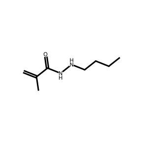 C=C(C)C(=O)NNCCCC